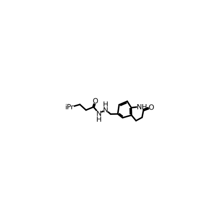 CC(C)CCC(=O)NNCc1ccc2c(c1)CCC(=O)N2